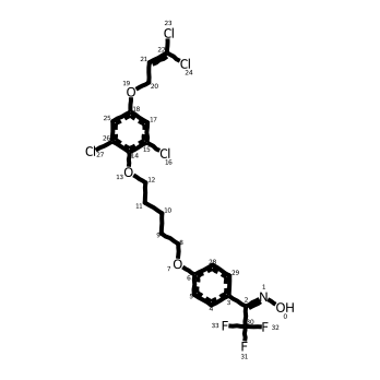 ON=C(c1ccc(OCCCCCOc2c(Cl)cc(OCC=C(Cl)Cl)cc2Cl)cc1)C(F)(F)F